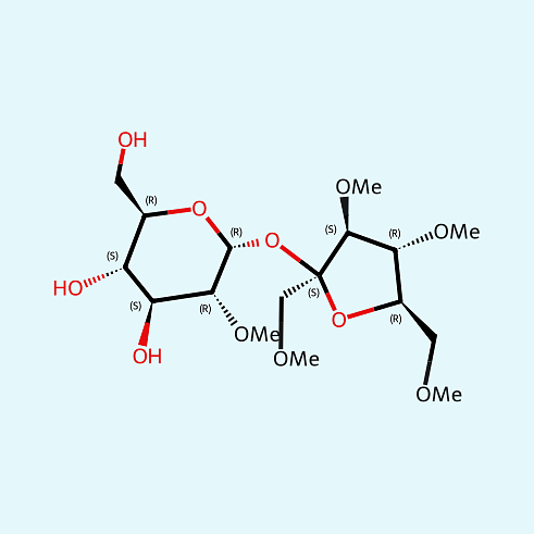 COC[C@H]1O[C@@](COC)(O[C@H]2O[C@H](CO)[C@@H](O)[C@H](O)[C@H]2OC)[C@@H](OC)[C@@H]1OC